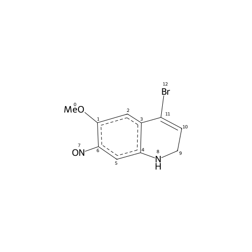 COc1cc2c(cc1N=O)NCC=C2Br